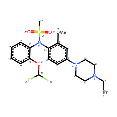 COc1cc(N2CCN(C[C](C)C)CC2)ccc1N(c1ccccc1OC(F)F)S(C)(=O)=O